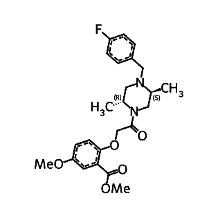 COC(=O)c1cc(OC)ccc1OCC(=O)N1C[C@H](C)N(Cc2ccc(F)cc2)C[C@H]1C